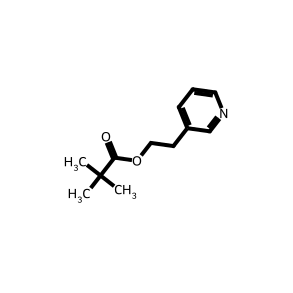 CC(C)(C)C(=O)OCCc1cccnc1